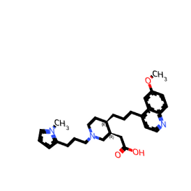 COc1ccc2nccc(CCC[C@@H]3CCN(CCCc4cccn4C)C[C@@H]3CC(=O)O)c2c1